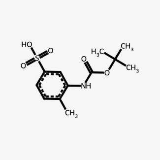 Cc1ccc(S(=O)(=O)O)cc1NC(=O)OC(C)(C)C